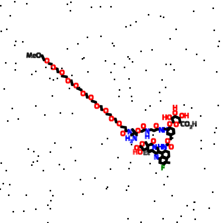 CC[C@@]1(O)C(=O)OCc2c1cc1n(c2=O)Cc2c-1nc1cc(F)c(C)c3c1c2[C@@H](NC(=O)OCc1ccc(O[C@@H]2O[C@H](C(=O)O)[C@@H](O)[C@H](O)[C@H]2O)c(CNC(=O)CCNC(=O)COC2(CN)CN(C(=O)CCOCCOCCOCCOCCOCCOCCOCCOCCOCCOCCOCCOC)C2)c1)CC3